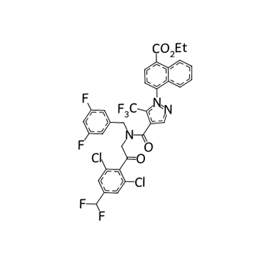 CCOC(=O)c1ccc(-n2ncc(C(=O)N(CC(=O)c3c(Cl)cc(C(F)F)cc3Cl)Cc3cc(F)cc(F)c3)c2C(F)(F)F)c2ccccc12